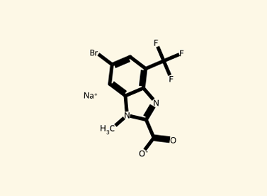 Cn1c(C(=O)[O-])nc2c(C(F)(F)F)cc(Br)cc21.[Na+]